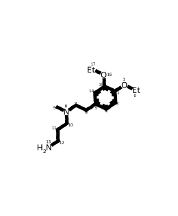 CCOc1ccc(CCN(C)CCCN)cc1OCC